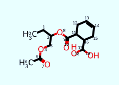 CCC(COC(C)=O)OC(=O)C1CC=CCC1C(O)O